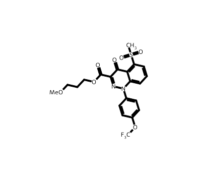 COCCCOC(=O)c1nn(-c2ccc(OC(F)(F)F)cc2)c2cccc(S(C)(=O)=O)c2c1=O